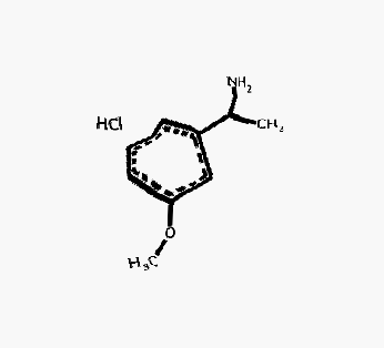 COc1cccc(C(C)N)c1.Cl